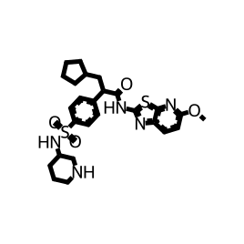 COc1ccc2nc(NC(=O)C(CC3CCCC3)c3ccc(S(=O)(=O)NC4CCCNC4)cc3)sc2n1